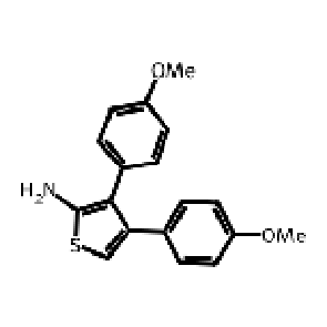 COc1ccc(-c2csc(N)c2-c2ccc(OC)cc2)cc1